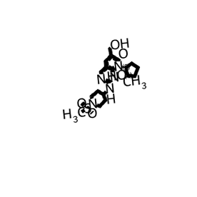 C[C@]1(O)CCC[C@@H]1n1c(=O)c(CO)cc2cnc(NC3CCN(S(C)(=O)=O)CC3)nc21